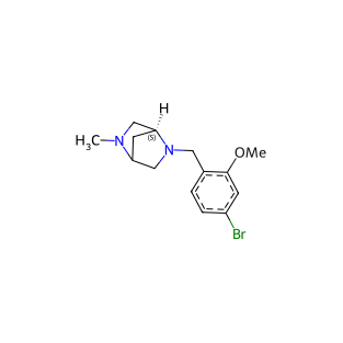 COc1cc(Br)ccc1CN1CC2C[C@H]1CN2C